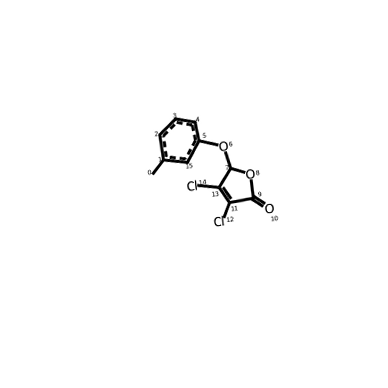 Cc1cccc(OC2OC(=O)C(Cl)=C2Cl)c1